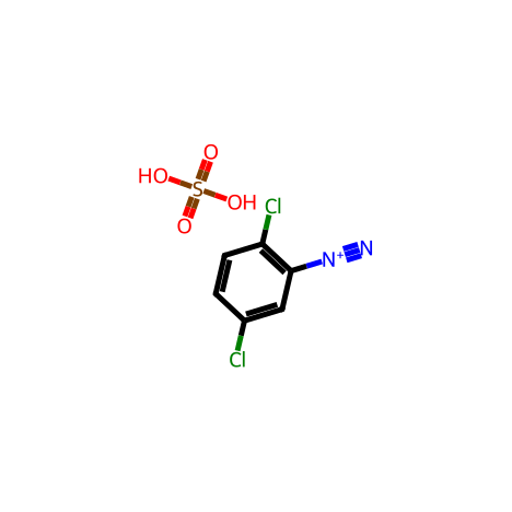 N#[N+]c1cc(Cl)ccc1Cl.O=S(=O)(O)O